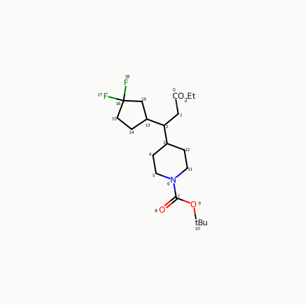 CCOC(=O)CC(C1CCN(C(=O)OC(C)(C)C)CC1)C1CCC(F)(F)C1